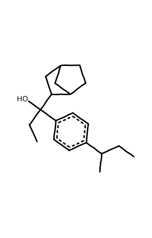 CCC(C)c1ccc(C(O)(CC)C2CC3CCC2C3)cc1